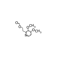 COc1ccnc(CCOC=O)c1OC